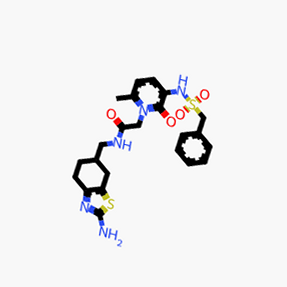 Cc1ccc(NS(=O)(=O)Cc2ccccc2)c(=O)n1CC(=O)NCC1CCc2nc(N)sc2C1